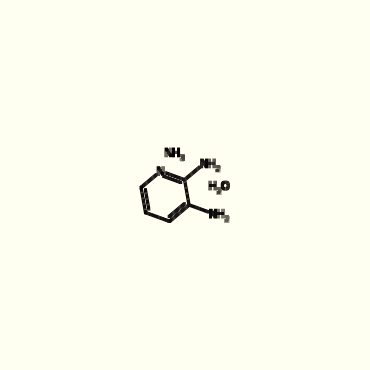 N.Nc1cccnc1N.O